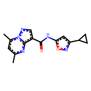 Cc1cc(C)n2ncc(C(=O)Nc3cc(C4CC4)no3)c2n1